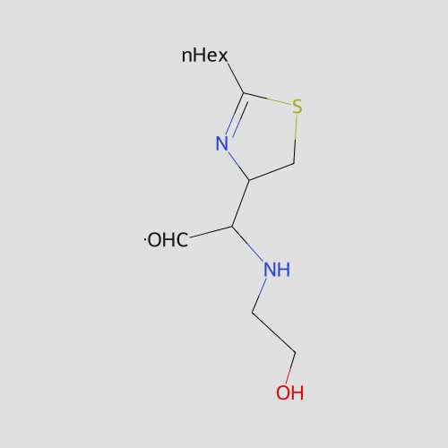 CCCCCCC1=NC(C([C]=O)NCCO)CS1